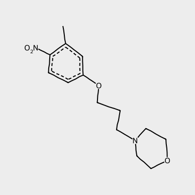 Cc1cc(OCCCN2CCOCC2)ccc1[N+](=O)[O-]